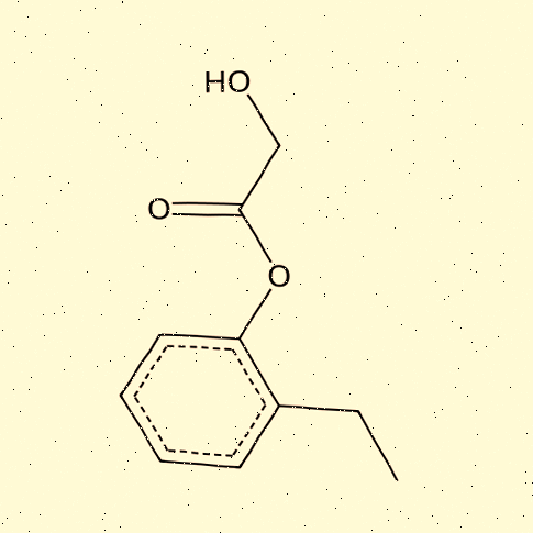 CCc1ccccc1OC(=O)CO